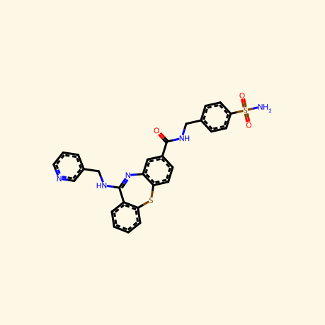 NS(=O)(=O)c1ccc(CNC(=O)c2ccc3c(c2)N=C(NCc2cccnc2)c2ccccc2S3)cc1